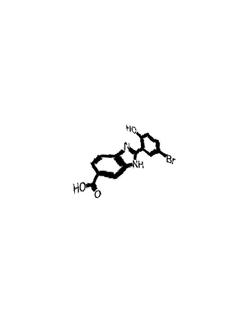 O=C(O)c1ccc2nc(-c3cc(Br)ccc3O)[nH]c2c1